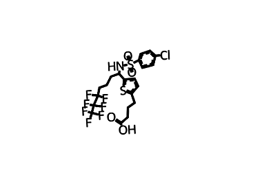 O=C(O)CCCc1ccc(C(CCCC(F)(F)C(F)(F)C(F)(F)F)NS(=O)(=O)c2ccc(Cl)cc2)s1